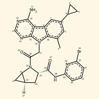 Cc1cc(C2CC2)cc2c3c(N)ncnc3n(CC(=O)N3C4C[C@@H]4C[C@H]3C(=O)Nc3cccc(Br)n3)c12